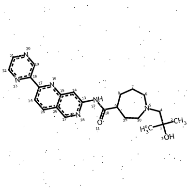 CC(C)(O)CN1CCCC(C(=O)Nc2cc3nc(-c4cnccn4)ccc3cn2)CC1